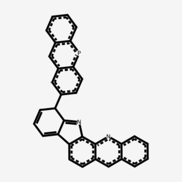 [c]1c(C2C=CC=C3C2=Nc2c3ccc3cc4ccccc4nc23)ccc2pc3ccccc3cc12